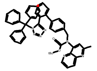 Cc1cc(N(Cc2ccc(-c3ccccc3-c3nnnn3C(c3ccccc3)(c3ccccc3)c3ccccc3)cc2)C(=O)OC(C)(C)C)c2ncccc2n1